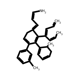 C=C/C=C(\C=C/C)C1=C(C2=CC=CCC2C)C(c2cccc(C)c2)=CC/C1=C\C=C/N